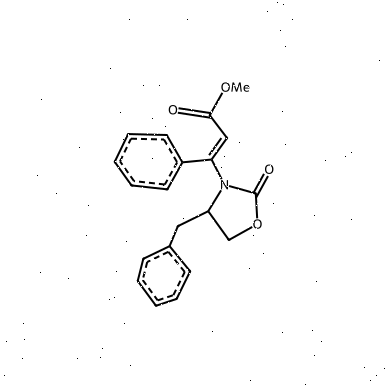 COC(=O)C=C(c1ccccc1)N1C(=O)OCC1Cc1ccccc1